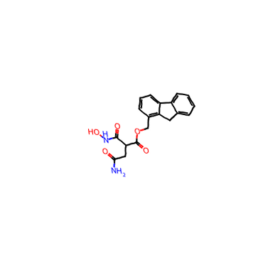 NC(=O)CC(C(=O)NO)C(=O)OCc1cccc2c1Cc1ccccc1-2